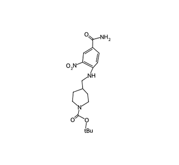 CC(C)(C)OC(=O)N1CCC(CNc2ccc(C(N)=O)cc2[N+](=O)[O-])CC1